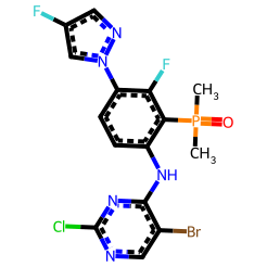 CP(C)(=O)c1c(Nc2nc(Cl)ncc2Br)ccc(-n2cc(F)cn2)c1F